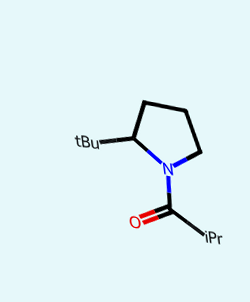 CC(C)C(=O)N1CCCC1C(C)(C)C